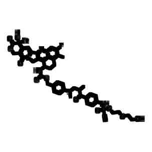 C#CP(=O)(Nc1ccc(C(=O)C(C)CN(C)c2ccc(COC(=O)NC3CCc4c(C)c(F)cc5nc6c(c3c45)Cn3c-6cc4c(c3=O)COC(=O)C4(O)CC)cc2)cc1)OCCOCCO